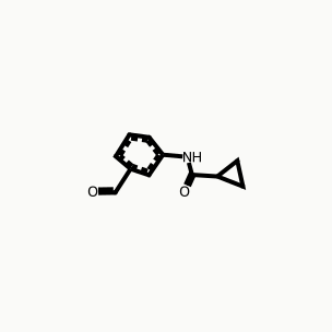 O=Cc1cccc(NC(=O)C2CC2)c1